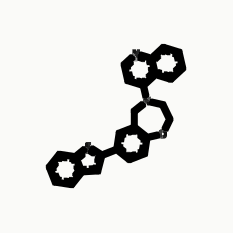 c1ccc2sc(-c3ccc4c(c3)CN(c3ccnc5ccccc35)CCO4)cc2c1